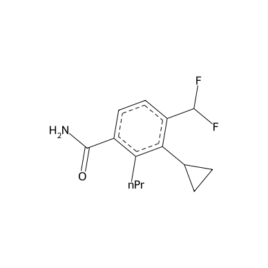 CCCc1c(C(N)=O)ccc(C(F)F)c1C1CC1